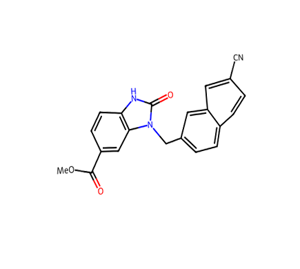 COC(=O)c1ccc2[nH]c(=O)n(Cc3ccc4ccc(C#N)cc4c3)c2c1